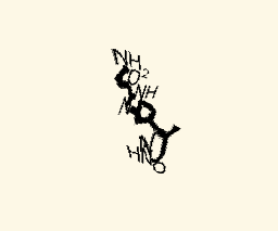 CC1CC(=O)NN=C1c1ccc2[nH]c(-c3ccc(N)o3)nc2c1